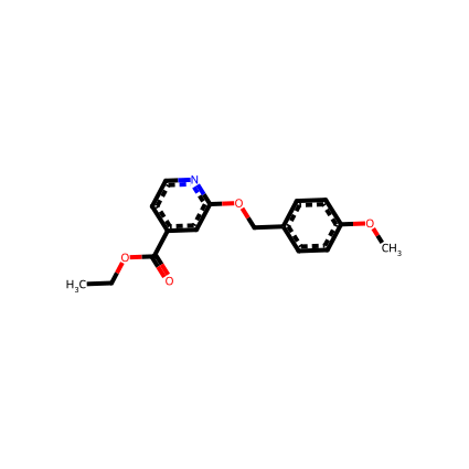 CCOC(=O)c1ccnc(OCc2ccc(OC)cc2)c1